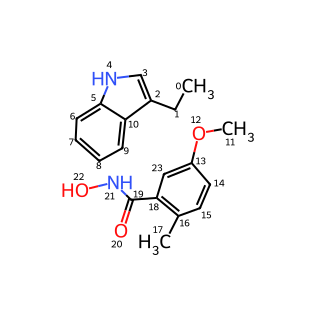 CCc1c[nH]c2ccccc12.COc1ccc(C)c(C(=O)NO)c1